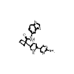 Nc1ncc(C2=CC=C(C3(C(=O)Nc4ccc5ncsc5c4)CCC3)CN2)cn1